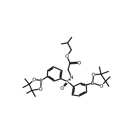 CC(C)COC(=O)CN=S(=O)(c1cccc(B2OC(C)(C)C(C)(C)O2)c1)c1cccc(B2OC(C)(C)C(C)(C)O2)c1